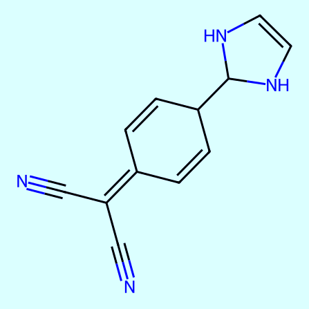 N#CC(C#N)=C1C=CC(C2NC=CN2)C=C1